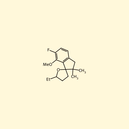 CCC1CCC2(O1)c1c(ccc(F)c1OC)CC2(C)C